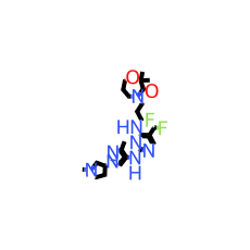 Cc1nn(C2CCN(C)C2)cc1Nc1ncc(C(F)F)c(NCCCN2CCCOC(C)(C)C2=O)n1